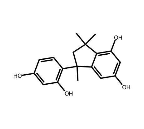 CC1(C)CC(C)(c2ccc(O)cc2O)c2cc(O)cc(O)c21